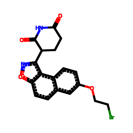 O=C1CCC(c2noc3ccc4cc(OCCBr)ccc4c23)C(=O)N1